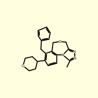 Cc1nnc2n1-c1ccc(C3CCOCC3)c(Cc3ccccc3)c1COC2